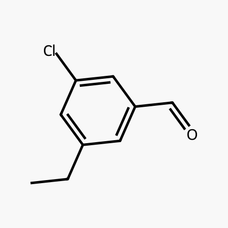 CCc1cc(Cl)cc(C=O)c1